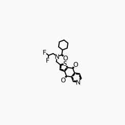 O=C1c2cnccc2C(=O)c2sc(CN(CC(F)F)C(=O)C3CCCCC3)cc21